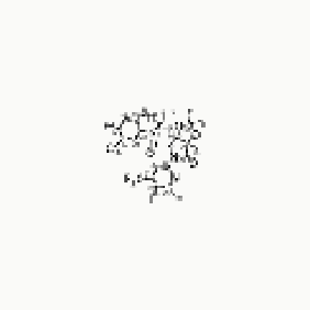 [2H]C([2H])([2H])N(C(=O)[C@@H]1[C@@H]2OC(C)(C)O[C@]2(C)C(=O)N1c1cc(C(F)(F)F)c(F)c(C)n1)c1cc(Cl)c(F)cc1F